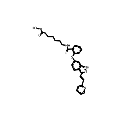 O=C(CCCCCCNC(=O)c1ccccc1Sc1ccc2c(C=Cc3ccccn3)n[nH]c2c1)NO